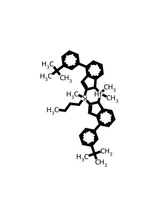 CCCC[Si]1(C)C2=Cc3c(-c4cccc(C(C)(C)C)c4)cccc3[CH]2[Hf]([CH3])([CH3])[CH]2C1=Cc1c(-c3cccc(C(C)(C)C)c3)cccc12